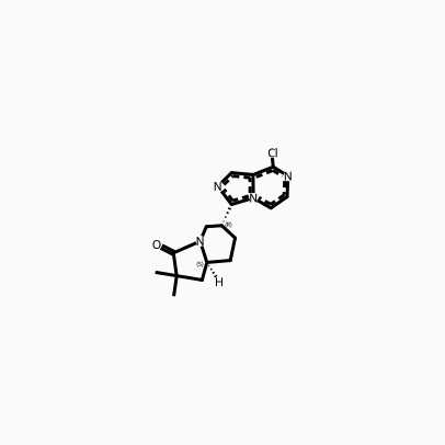 CC1(C)C[C@@H]2CC[C@@H](c3ncc4c(Cl)nccn34)CN2C1=O